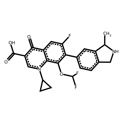 CC1NCc2ccc(-c3c(F)cc4c(=O)c(C(=O)O)cn(C5CC5)c4c3OC(F)F)cc21